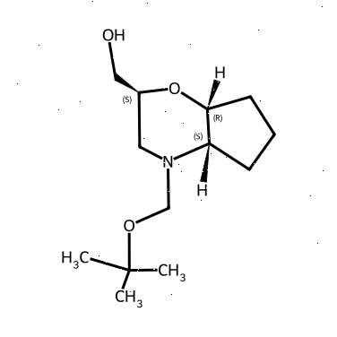 CC(C)(C)OCN1C[C@@H](CO)O[C@@H]2CCC[C@@H]21